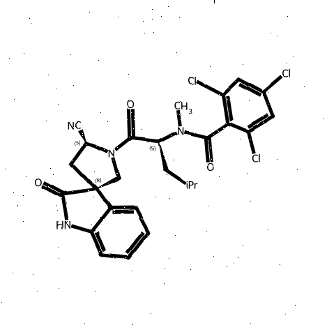 CC(C)C[C@@H](C(=O)N1C[C@]2(C[C@H]1C#N)C(=O)Nc1ccccc12)N(C)C(=O)c1c(Cl)cc(Cl)cc1Cl